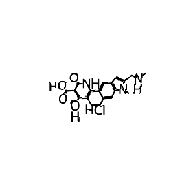 CNCc1cc2cc3c(cc2n1C)CCc1c-3[nH]c(=O)c(C(=O)O)c1O.Cl